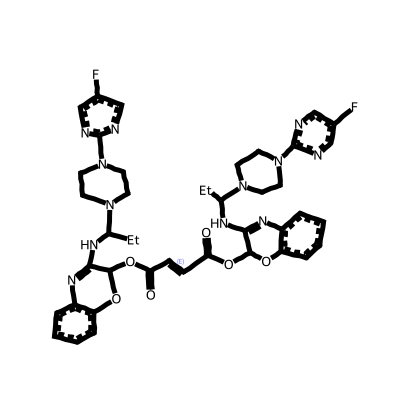 CCC(NC1=Nc2ccccc2OC1OC(=O)/C=C/C(=O)OC1Oc2ccccc2N=C1NC(CC)N1CCN(c2ncc(F)cn2)CC1)N1CCN(c2ncc(F)cn2)CC1